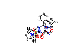 O=C(N[C@H]1C[C@H]2CC[C@@H](C1)N2S(=O)(=O)N1CCNC(c2ccccc2)C1)c1cc(C2CC2)on1